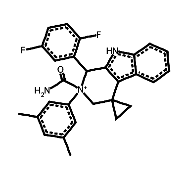 Cc1cc(C)cc([N+]2(C(N)=O)CC3(CC3)c3c([nH]c4ccccc34)C2c2cc(F)ccc2F)c1